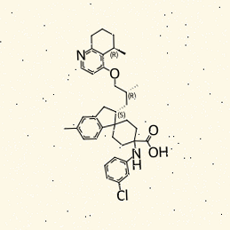 Cc1ccc2c(c1)C[C@H](C[C@@H](C)COc1ccnc3c1[C@H](C)CCC3)C21CCC(Nc2cccc(Cl)c2)(C(=O)O)CC1